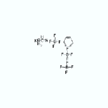 C#N.F[B-](F)(F)F.F[B-](F)(F)F.F[B-](F)(F)F.O.[KH].c1ccccc1